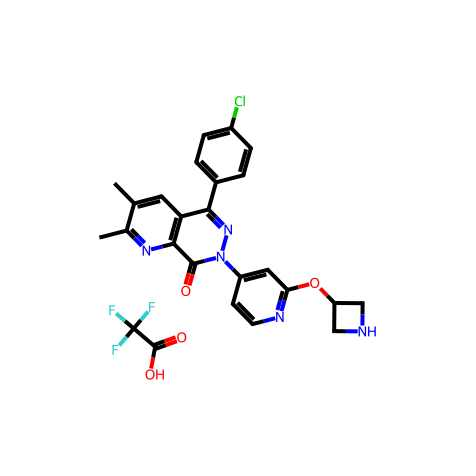 Cc1cc2c(-c3ccc(Cl)cc3)nn(-c3ccnc(OC4CNC4)c3)c(=O)c2nc1C.O=C(O)C(F)(F)F